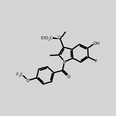 CCOC(=O)[C@@H](C)c1c(C)n(C(=O)c2ccc(OC(F)(F)F)cc2)c2cc(F)c(O)cc12